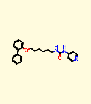 O=C(NCCCCCCOc1ccccc1-c1ccccc1)Nc1ccncc1